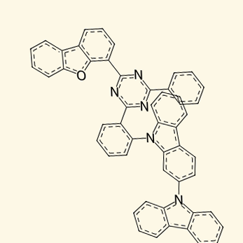 c1ccc(-c2nc(-c3ccccc3-n3c4ccccc4c4ccc(-n5c6ccccc6c6ccccc65)cc43)nc(-c3cccc4c3oc3ccccc34)n2)cc1